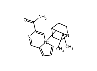 CC1(C)C([N+]23C=CC=C2C=NC(C(N)=O)=C3)C2CCN1CC2